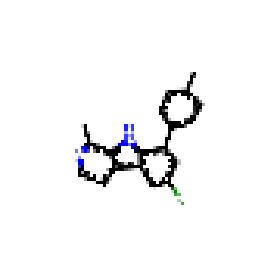 Cc1ccc(-c2cc(Cl)cc3c2[nH]c2c(C)nccc23)cc1